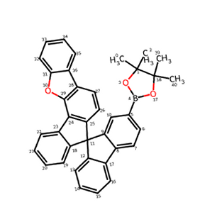 CC1(C)OB(c2ccc3c(c2)C2(c4ccccc4-3)c3ccccc3-c3c2ccc2c3oc3ccccc32)OC1(C)C